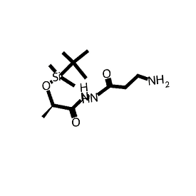 C[C@@H](O[Si](C)(C)C(C)(C)C)C(=O)NNC(=O)CCN